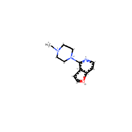 CN1CCN(c2nccc3occc23)CC1